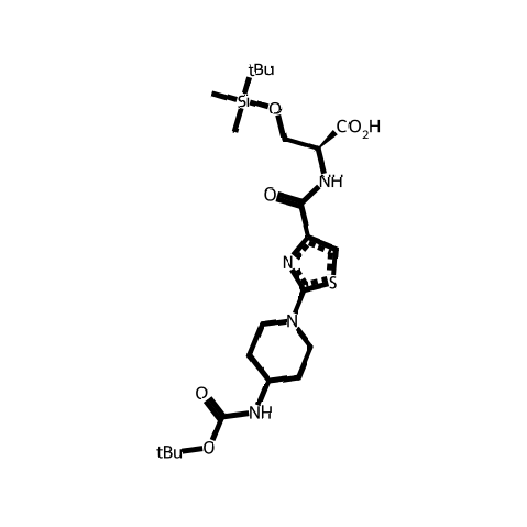 CC(C)(C)OC(=O)NC1CCN(c2nc(C(=O)N[C@@H](CO[Si](C)(C)C(C)(C)C)C(=O)O)cs2)CC1